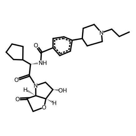 CCCN1CCC(c2ccc(C(=O)N[C@H](C(=O)N3C[C@H](O)[C@H]4OCC(=O)[C@H]43)C3CCCC3)cc2)CC1